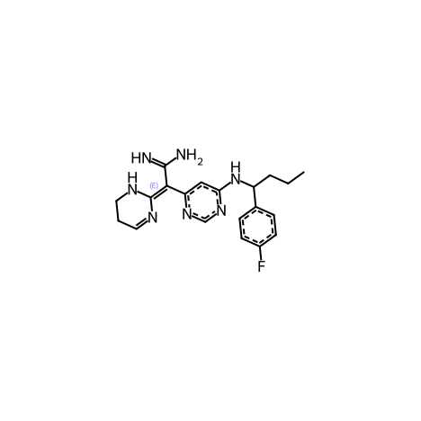 CCCC(Nc1cc(/C(C(=N)N)=C2\N=CCCN2)ncn1)c1ccc(F)cc1